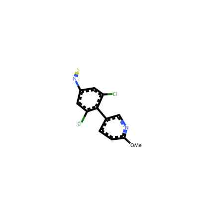 COc1ccc(-c2c(Cl)cc(N=S)cc2Cl)cn1